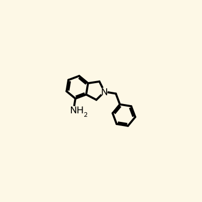 Nc1cccc2c1CN(Cc1ccccc1)C2